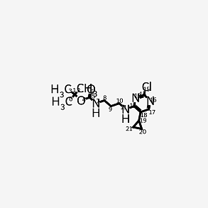 CC(C)(C)OC(=O)NCCCNc1nc(Cl)ncc1C1CC1